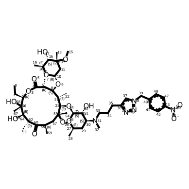 CC[C@H]1OC(=O)[C@H](C)[C@@H](O[C@H]2C[C@@](C)(OC)[C@@H](O)[C@H](C)O2)[C@H](C)[C@@H](O[C@@H]2O[C@H](C)C[C@H](N(C)CCCc3cn(Cc4ccc([N+](=O)[O-])cc4)nn3)[C@H]2O)[C@](C)(OC)C[C@@H](C)C(=O)[C@H](C)[C@@H](O)[C@]1(C)O